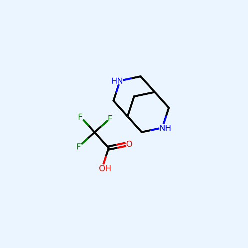 C1NCC2CNCC1C2.O=C(O)C(F)(F)F